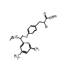 COC(=O)C(Br)Cc1ccc(OCC(OC(C)=O)c2cc(C)cc(C)n2)cc1